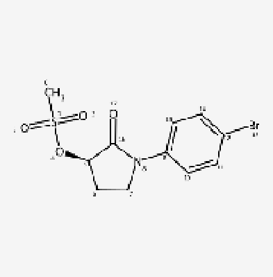 CS(=O)(=O)O[C@@H]1CCN(c2ccc(Br)cc2)C1=O